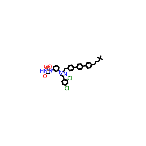 CC(C)(C)CCCc1ccc(-c2ccc(-c3ccc(Cc4nc(-c5ccc(Cl)cc5Cl)cn4-c4cccc(N5CC(=O)NS5(=O)=O)c4)cc3)cc2)cc1